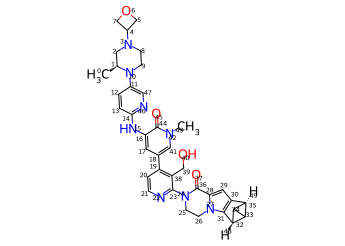 C[C@H]1CN(C2COC2)CCN1c1ccc(Nc2cc(-c3ccnc(N4CCn5c(cc6c5[C@H]5C7C5[C@@H]67)C4=O)c3CO)cn(C)c2=O)nc1